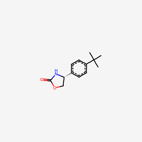 CC(C)(C)c1ccc([C@@H]2COC(=O)N2)cc1